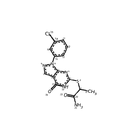 CC(Sc1nc2c(cnn2-c2cccc(Cl)c2)c(=O)[nH]1)C(N)=O